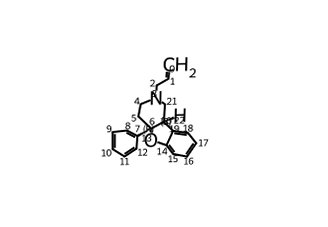 C=CCN1CC[C@@]2(c3ccccc3)Oc3ccccc3[C@H]2C1